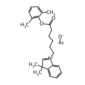 CC(=O)[O-].Cc1cccc(C)c1OC(=O)CCCCC[N+]1=CC(C)(C)c2ccccc21